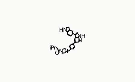 CC(C)CC(=O)N1CCN(Cc2ccc(-c3cnc4[nH]cc(-c5ccc6c(c5)CCN6)c4c3)cc2)CC1